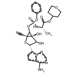 C[C@H](NP(=O)(Oc1ccccc1)OC1[C@@]2(C#N)O[C@@H](c3ccc4c(N)ncnn34)[C@H](O)[C@@]12O)C(=O)OC1CCOCC1